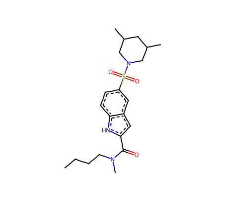 CCCCN(C)C(=O)c1cc2cc(S(=O)(=O)N3CC(C)CC(C)C3)ccc2[nH]1